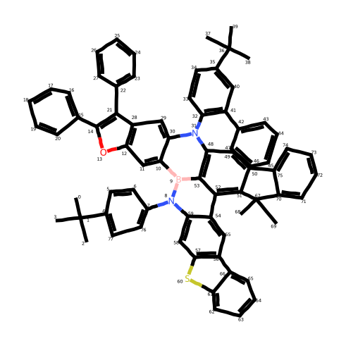 CC(C)(C)c1ccc(N2B3c4cc5oc(-c6ccccc6)c(-c6ccccc6)c5cc4N(c4ccc(C(C)(C)C)cc4-c4ccccc4)c4cc5c(c(c43)-c3cc4c(cc32)sc2ccccc24)C(C)(C)c2ccccc2-5)cc1